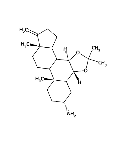 C=C1CCC2C3C(CC[C@]12C)[C@@]1(C)CC[C@@H](N)CC1[C@H]1OC(C)(C)O[C@H]31